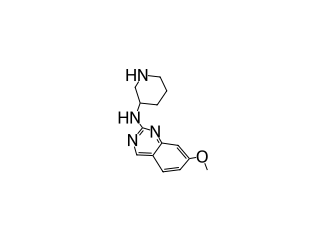 COc1ccc2cnc(NC3CCCNC3)nc2c1